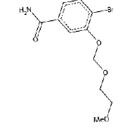 COCCOCOc1cc(C(N)=O)ccc1Br